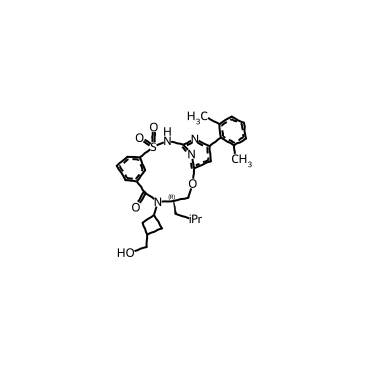 Cc1cccc(C)c1-c1cc2nc(n1)NS(=O)(=O)c1cccc(c1)C(=O)N(C1CC(CO)C1)[C@H](CC(C)C)CO2